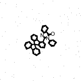 O=c1c2ccccc2nc(-c2cccc3c2-c2ccccc2C32c3ccccc3-c3ccccc32)n1-c1ccccc1